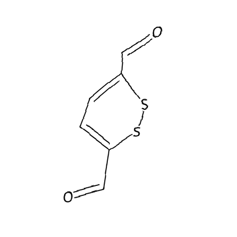 O=CC1=CC=C(C=O)SS1